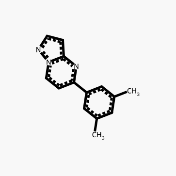 Cc1cc(C)cc(-c2ccn3nccc3n2)c1